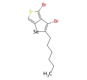 CCCCCCc1[se]c2csc(Br)c2c1Br